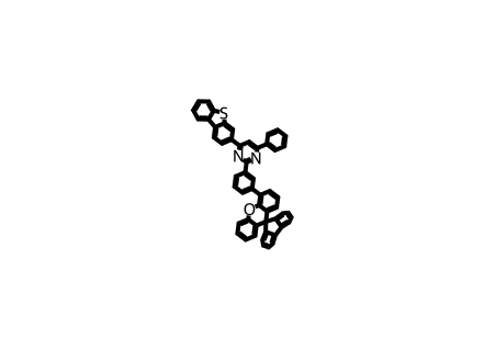 c1ccc(-c2cc(-c3ccc4c(c3)sc3ccccc34)nc(-c3cccc(-c4cccc5c4Oc4ccccc4C54c5ccccc5-c5ccccc54)c3)n2)cc1